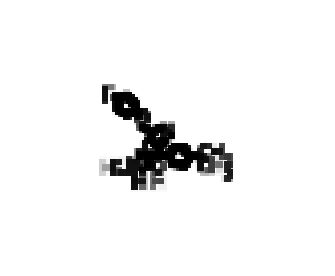 CC(C)c1ccc([C@](O)(c2cncc(COc3ccc(F)cc3)c2)C2(C)CNC2)cc1.Cl